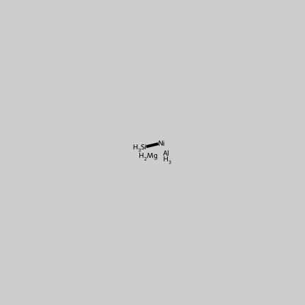 [AlH3].[MgH2].[SiH3][Ni]